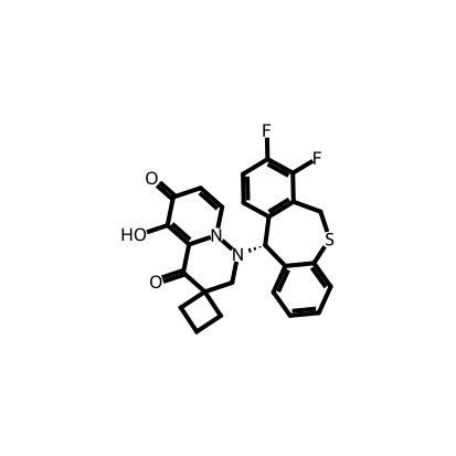 O=C1c2c(O)c(=O)ccn2N([C@H]2c3ccccc3SCc3c2ccc(F)c3F)CC12CCC2